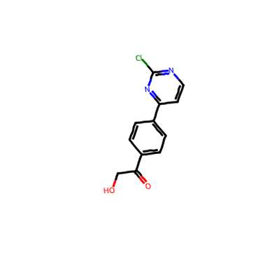 O=C(CO)c1ccc(-c2ccnc(Cl)n2)cc1